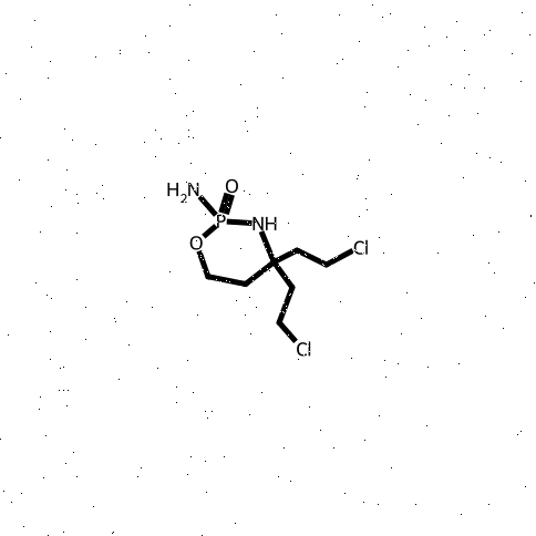 NP1(=O)NC(CCCl)(CCCl)CCO1